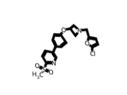 CS(=O)(=O)c1ccc(-c2ccc(OC3CN(Cc4ccc(Cl)o4)C3)cc2)cn1